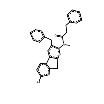 CN(C(=O)CCc1ccccc1)c1nc2c(nc1Cc1ccccc1)-c1ccc(O)cc1C2